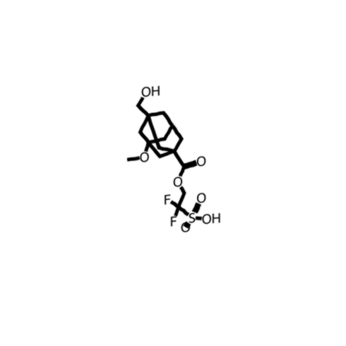 COC12CC3CC(CO)(C1)CC(C(=O)OCC(F)(F)S(=O)(=O)O)(C3)C2